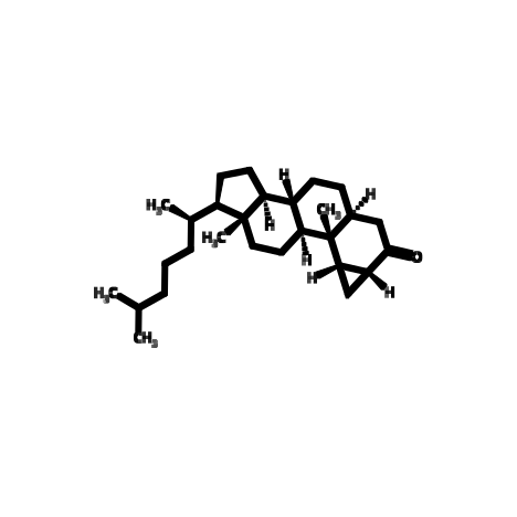 CC(C)CCC[C@@H](C)[C@H]1CC[C@H]2[C@@H]3CC[C@H]4CC(=O)[C@@H]5C[C@@H]5[C@]4(C)[C@H]3CC[C@]12C